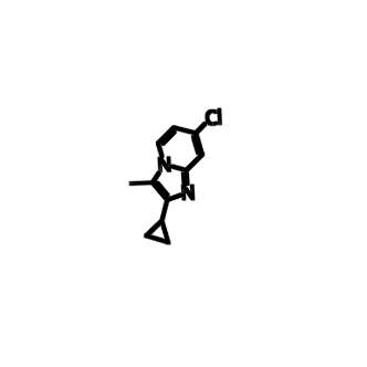 Cc1c(C2CC2)nc2cc(Cl)ccn12